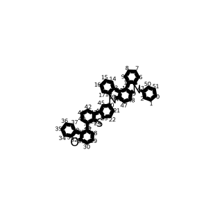 c1ccc(-n2c3ccccc3c3c4c5ccccc5n(-c5ccc6sc7c(-c8cccc9oc%10ccccc%10c89)cccc7c6c5)c4ccc32)cc1